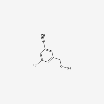 C#Cc1cc(COS)cc(C(F)(F)F)c1